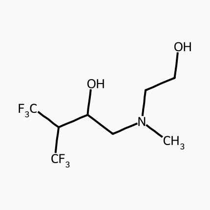 CN(CCO)CC(O)C(C(F)(F)F)C(F)(F)F